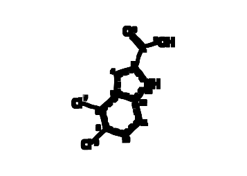 O=C(O)c1[c]c2c(Cl)c(Cl)ccc2[nH]1